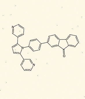 O=C1c2ccccc2-c2ccc(-c3ccc(-n4c(-c5cccnc5)ccc4-c4cccnc4)cc3)cc21